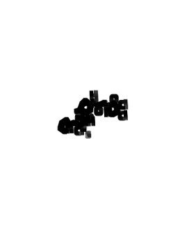 Cc1ccc(NC(=O)Cn2ncc(Cl)c(Cl)c2=O)cc1S(=O)(=O)N[C@H](Cc1ccccn1)C(F)(F)F